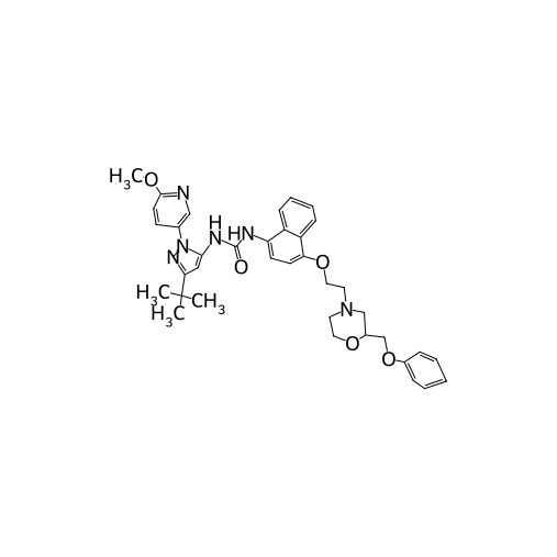 COc1ccc(-n2nc(C(C)(C)C)cc2NC(=O)Nc2ccc(OCCN3CCOC(COc4ccccc4)C3)c3ccccc23)cn1